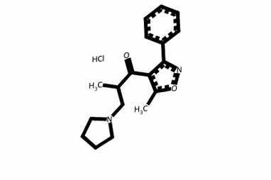 Cc1onc(-c2ccccc2)c1C(=O)C(C)CN1CCCC1.Cl